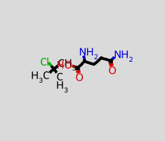 CC(C)(C)Cl.NC(=O)CCC(N)C(=O)O